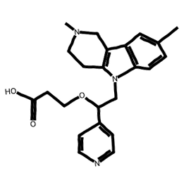 Cc1ccc2c(c1)c1c(n2CC(OCCC(=O)O)c2ccncc2)CCN(C)C1